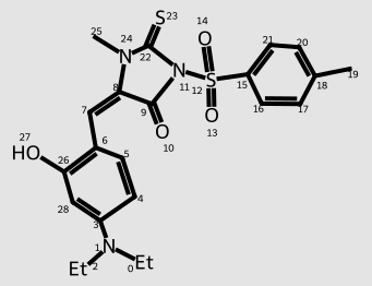 CCN(CC)c1ccc(/C=C2\C(=O)N(S(=O)(=O)c3ccc(C)cc3)C(=S)N2C)c(O)c1